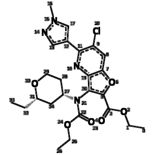 CCOC(=O)c1oc2cc(Cl)c(-c3cnn(C)c3)nc2c1N(C(=O)OCC)[C@H]1CCO[C@@H](CC)C1